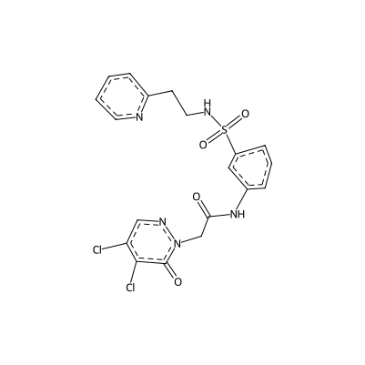 O=C(Cn1ncc(Cl)c(Cl)c1=O)Nc1cccc(S(=O)(=O)NCCc2ccccn2)c1